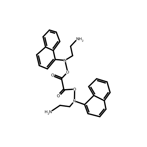 NCCN(OC(=O)C(=O)ON(CCN)c1cccc2ccccc12)c1cccc2ccccc12